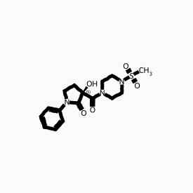 CS(=O)(=O)N1CCN(C(=O)[C@@]2(O)CCN(c3ccccc3)C2=O)CC1